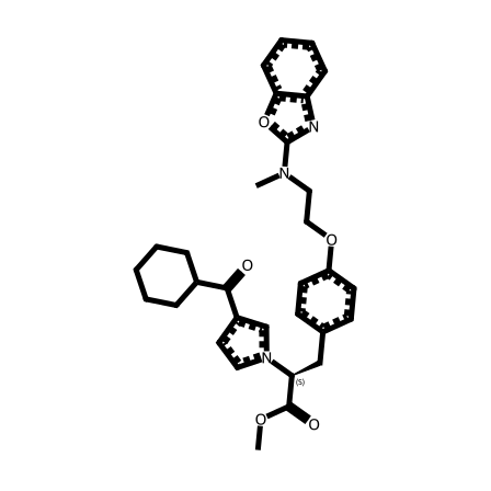 COC(=O)[C@H](Cc1ccc(OCCN(C)c2nc3ccccc3o2)cc1)n1ccc(C(=O)C2CCCCC2)c1